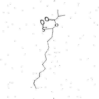 CCCCCCCCCCCC(OC(=O)C(C)C)[S+]=O